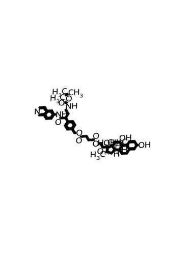 C[C@@H]1C[C@H]2[C@@H]3CCC4=CC(O)C=C[C@]4(C)[C@@]3(F)[C@@H](O)C[C@]2(C)[C@@]1(O)C(=O)COC(=O)CCC(=O)OCc1ccc(C(CCNC(=O)OC(C)(C)C)C(=O)Nc2ccc3cnccc3c2)cc1